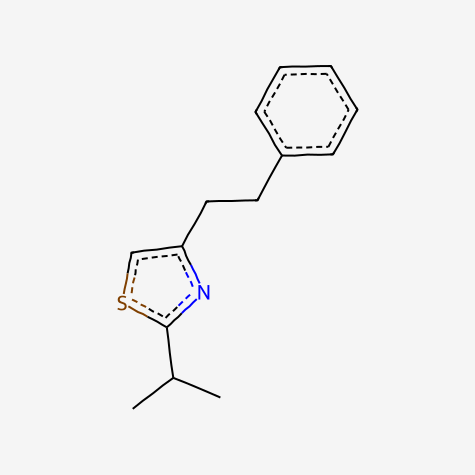 CC(C)c1nc(CCc2ccccc2)cs1